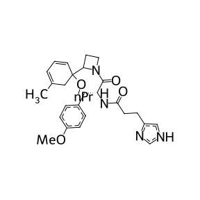 CCCOC1(C2CCN2C(=O)[C@@H](Cc2ccc(OC)cc2)NC(=O)CCc2c[nH]cn2)C=CC=C(C)C1